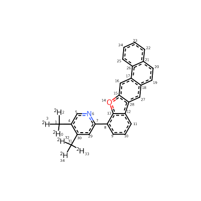 [2H]C([2H])([2H])c1cnc(-c2cccc3c2oc2cc4c(ccc5ccccc54)cc23)cc1C([2H])([2H])[2H]